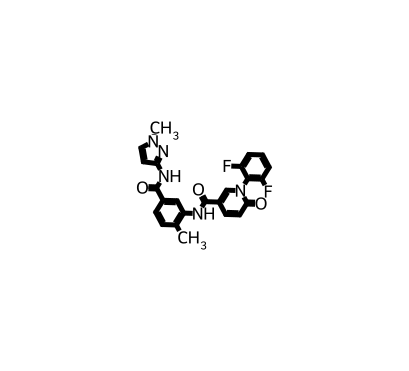 Cc1ccc(C(=O)Nc2ccn(C)n2)cc1NC(=O)c1ccc(=O)n(-c2c(F)cccc2F)c1